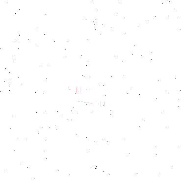 CO.O.[K]